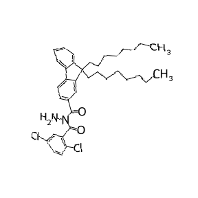 CCCCCCCCC1(CCCCCCCC)c2ccccc2-c2ccc(C(=O)N(N)C(=O)c3cc(Cl)ccc3Cl)cc21